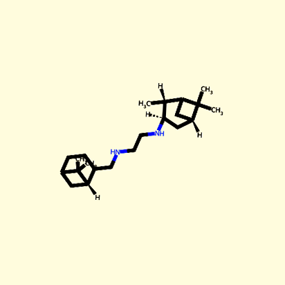 C[C@@H]1C2C[C@@H](C[C@H]1NCCNCC1CCC3C[C@@H]1C3(C)C)C2(C)C